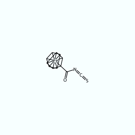 O=C(N=C=S)[C]12[CH]3[CH]4[CH]5[CH]1[Fe]45321678[CH]2[CH]1[CH]6[CH]7[CH]28